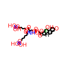 C[C@@H]1C[C@H]2[C@@H]3CCC4=CC(=O)C=C[C@]4(C)[C@@]3(F)[C@@H](O)C[C@]2(C)[C@@]1(O)C(=O)COC(=O)OCC(NC(=O)CCCCCON(O)O)C(=O)OCCCCON(O)O